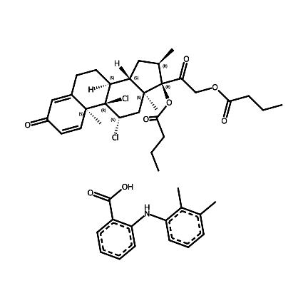 CCCC(=O)OCC(=O)[C@@]1(OC(=O)CCC)[C@H](C)C[C@H]2[C@@H]3CCC4=CC(=O)C=C[C@]4(C)[C@@]3(Cl)[C@@H](Cl)C[C@@]21C.Cc1cccc(Nc2ccccc2C(=O)O)c1C